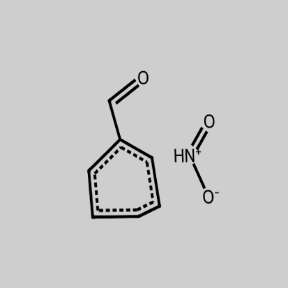 O=Cc1ccccc1.O=[NH+][O-]